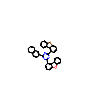 C1=Cc2cc(-c3nc(-c4cccc5oc6ccccc6c45)nc(-c4cccc5sc6ccccc6c45)n3)ccc2CC1